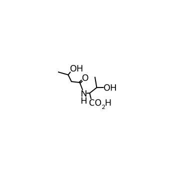 CC(O)CC(=O)NC(C(=O)O)C(C)O